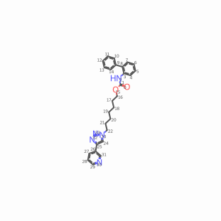 O=C(Nc1ccccc1-c1ccccc1)OCCCCCCCn1cc(-c2cccnc2)nn1